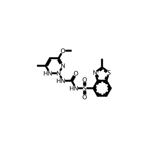 COC1=NN(NC(=O)NS(=O)(=O)c2cccc3sc(C)nc23)NC(C)=C1